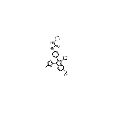 CCOc1ccc2c(-c3nc(C)cs3)c(-c3ccc(NC(=O)NC4CCC4)cc3)n(C3CCC3)c2c1